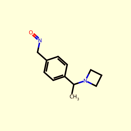 CC(c1ccc(CN=O)cc1)N1CCC1